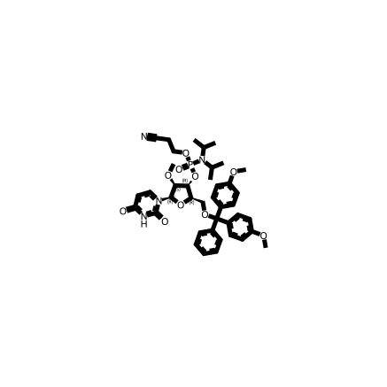 COc1ccc(C(OC[C@H]2O[C@@H](n3ccc(=O)[nH]c3=O)[C@@H](OC)[C@@H]2OP(=O)(OCCC#N)N(C(C)C)C(C)C)(c2ccccc2)c2ccc(OC)cc2)cc1